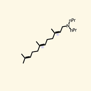 CCCN(C/C=C(\C)CC/C=C(\C)CCC=C(C)C)CCC